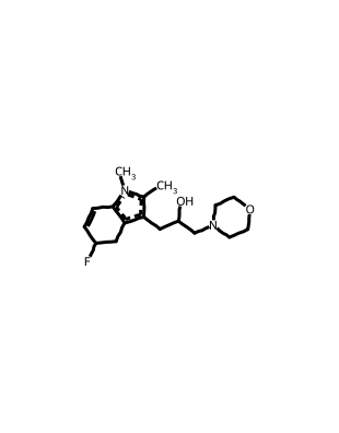 Cc1c(CC(O)CN2CCOCC2)c2c(n1C)C=CC(F)C2